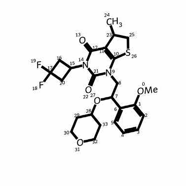 COc1ccccc1C(Cn1c2c(c(=O)n(C3CC(F)(F)C3)c1=O)C(C)CS2)OC1CCOCC1